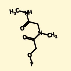 CNC(=O)CN(C)C(=O)COF